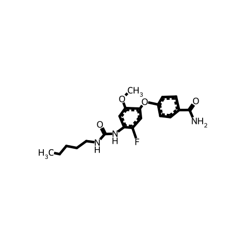 CCCCCNC(=O)Nc1cc(OC)c(Oc2ccc(C(N)=O)cc2)cc1F